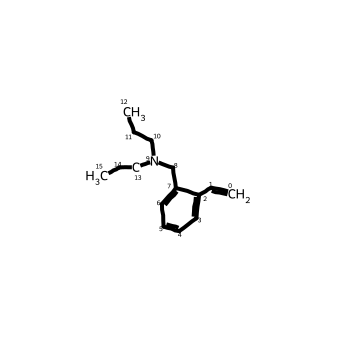 C=Cc1ccccc1CN(CCC)CCC